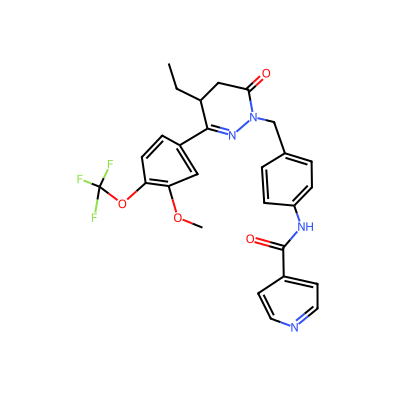 CCC1CC(=O)N(Cc2ccc(NC(=O)c3ccncc3)cc2)N=C1c1ccc(OC(F)(F)F)c(OC)c1